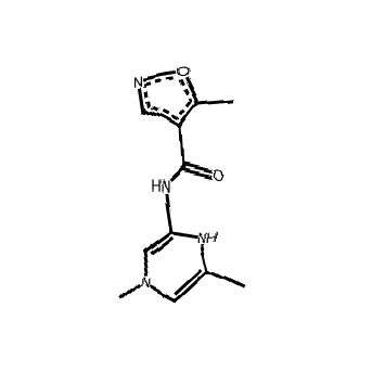 CC1=CN(C)C=C(NC(=O)c2cnoc2C)N1